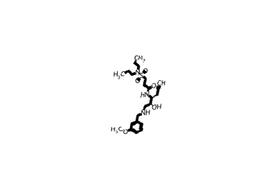 C#CC[C@H](NC(=O)CCS(=O)(=O)N(CCC)CCC)[C@H](O)CNCc1cccc(OC)c1